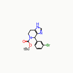 CC(C)(C)OC(=O)N1CCc2[nH]cnc2C1c1cccc(Br)c1